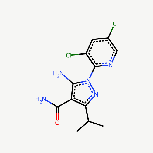 CC(C)c1nn(-c2ncc(Cl)cc2Cl)c(N)c1C(N)=O